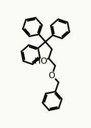 OC(COCc1ccccc1)CC(c1ccccc1)(c1ccccc1)c1ccccc1